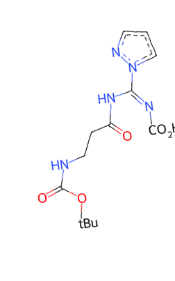 CC(C)(C)OC(=O)NCCC(=O)NC(=NC(=O)O)n1cccn1